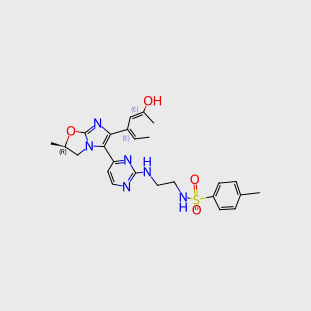 C/C=C(\C=C(/C)O)c1nc2n(c1-c1ccnc(NCCNS(=O)(=O)c3ccc(C)cc3)n1)C[C@@H](C)O2